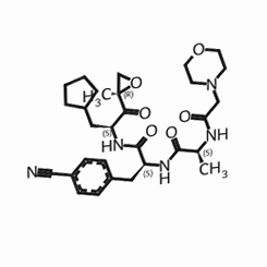 C[C@H](NC(=O)CN1CCOCC1)C(=O)N[C@@H](Cc1ccc(C#N)cc1)C(=O)N[C@@H](CC1CCCC1)C(=O)[C@@]1(C)CO1